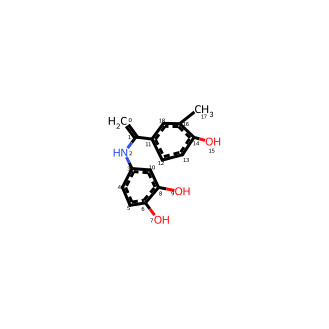 C=C(Nc1ccc(O)c(O)c1)c1ccc(O)c(C)c1